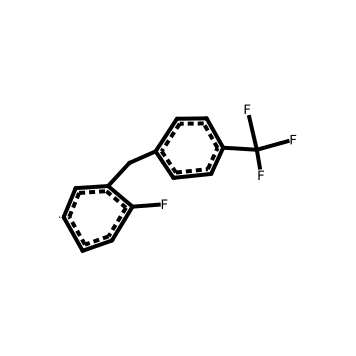 Fc1cc[c]cc1Cc1ccc(C(F)(F)F)cc1